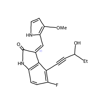 CCC(O)C#Cc1c(F)ccc2c1/C(=C/c1[nH]ccc1OC)C(=O)N2